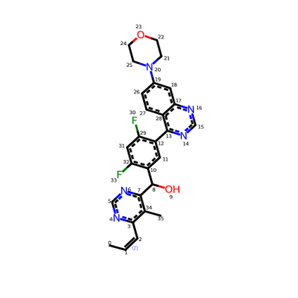 C/C=C\c1ncnc(C(O)c2cc(-c3ncnc4cc(N5CCOCC5)ccc34)c(F)cc2F)c1C